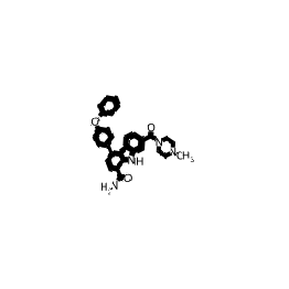 CN1CCN(C(=O)c2ccc3c(c2)[nH]c2c(C(N)=O)ccc(-c4ccc(Oc5ccccc5)cc4)c23)CC1